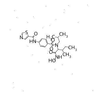 CCC(C)C(C(=O)NO)N(CC(C)C)S(=O)(=O)c1ccc(NC(=O)c2cncs2)cc1